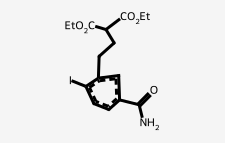 CCOC(=O)C(CCc1cc(C(N)=O)ccc1I)C(=O)OCC